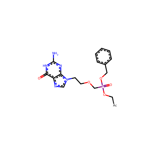 CC(=O)COP(=O)(COCCn1cnc2c(=O)[nH]c(N)nc21)OCc1ccccc1